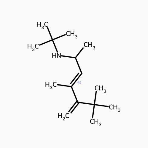 C=C(/C(C)=C/C(C)NC(C)(C)C)C(C)(C)C